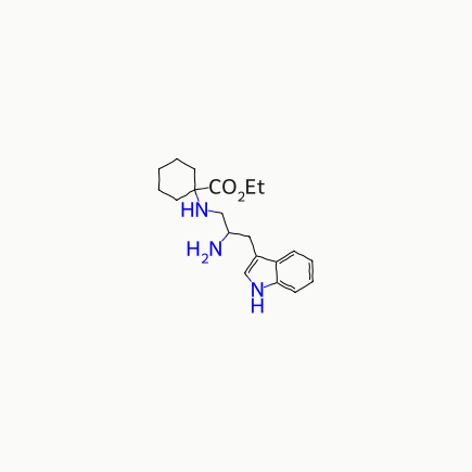 CCOC(=O)C1(NCC(N)Cc2c[nH]c3ccccc23)CCCCC1